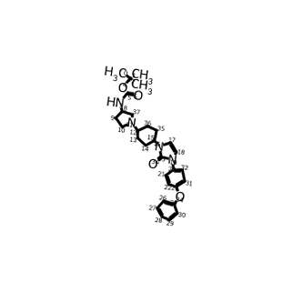 CC(C)(C)OC(=O)NC1CCN(C2CCC(n3ccn(-c4ccc(Oc5ccccc5)cc4)c3=O)CC2)C1